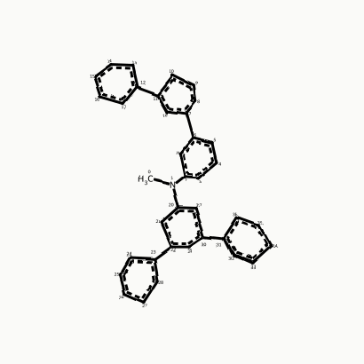 CN(c1cccc(-c2cccc(-c3ccccc3)c2)c1)c1cc(-c2ccccc2)cc(-c2ccccc2)c1